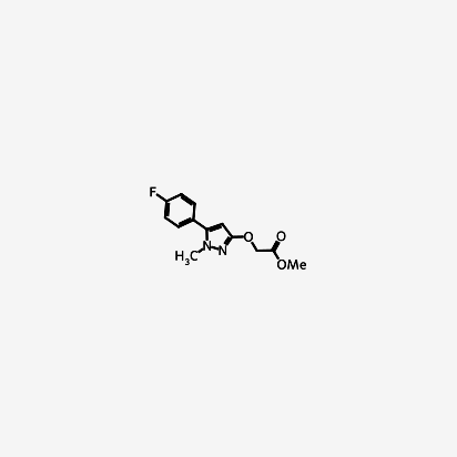 COC(=O)COc1cc(-c2ccc(F)cc2)n(C)n1